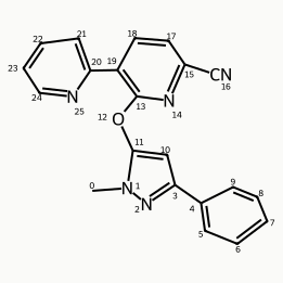 Cn1nc(-c2ccccc2)cc1Oc1nc(C#N)ccc1-c1ccccn1